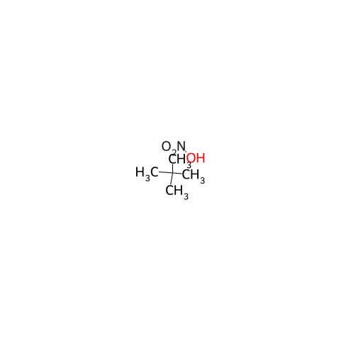 CC(C)(C)C.O=[N+]([O-])O